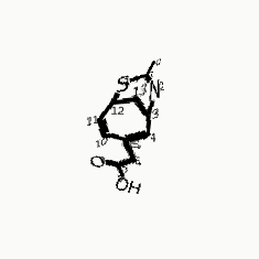 CC1=NC2C=C(CC(=O)O)C=CC(C2)S1